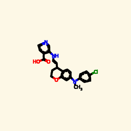 CN(c1ccc(Cl)cc1)c1ccc2c(c1)OCCC2/C=C/Nc1cnccc1C(=O)O